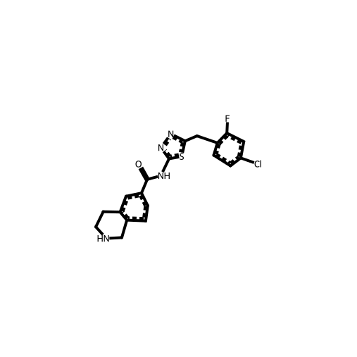 O=C(Nc1nnc(Cc2ccc(Cl)cc2F)s1)c1ccc2c(c1)CCNC2